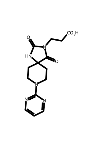 O=C(O)CCN1C(=O)NC2(CCN(c3ncccn3)CC2)C1=O